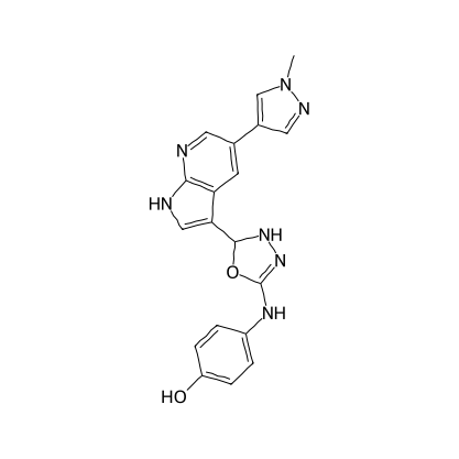 Cn1cc(-c2cnc3[nH]cc(C4NN=C(Nc5ccc(O)cc5)O4)c3c2)cn1